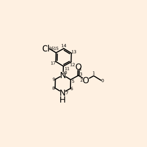 CCOC(=O)C1CNCCN1c1cccc(Cl)c1